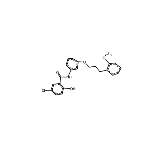 COc1ccccc1CCCOc1cccc(NC(=O)c2cc(Cl)ccc2O)c1